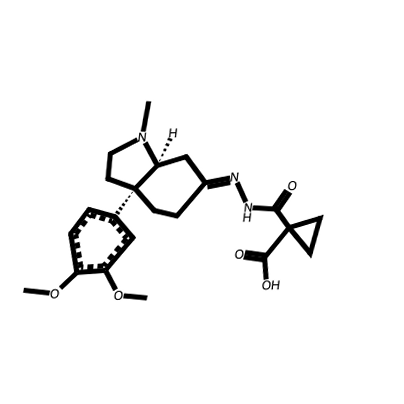 COc1ccc([C@@]23CC/C(=N\NC(=O)C4(C(=O)O)CC4)C[C@@H]2N(C)CC3)cc1OC